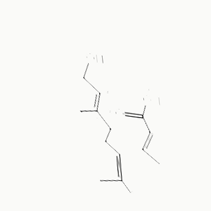 C/C=C/C(=O)O.CC(C)=CCC/C(C)=C/CO